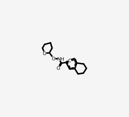 O=C(NOC1CCCCO1)c1ccc2c(c1)CCCC2